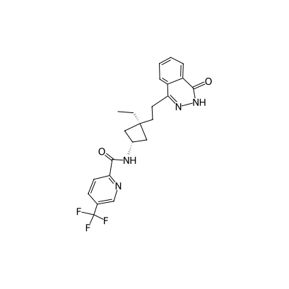 CC[C@]1(CCc2n[nH]c(=O)c3ccccc23)C[C@H](NC(=O)c2ccc(C(F)(F)F)cn2)C1